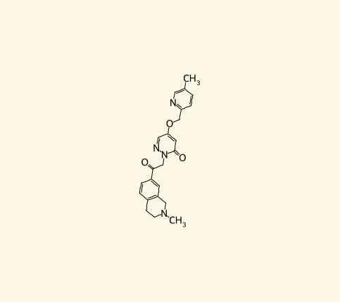 Cc1ccc(COc2cnn(CC(=O)c3ccc4c(c3)CN(C)CC4)c(=O)c2)nc1